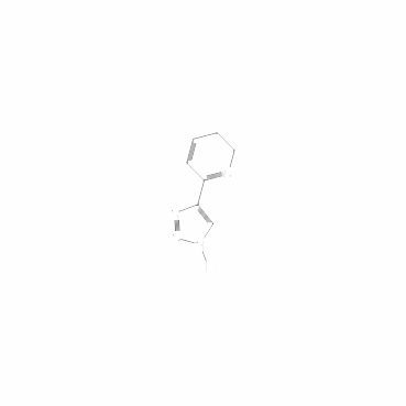 CCn1cc(C2=NCCC=C2)nn1